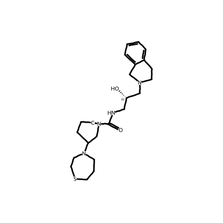 O=C(NC[C@H](O)CN1CCc2ccccc2C1)N1CCCC(N2CCCSCC2)C1